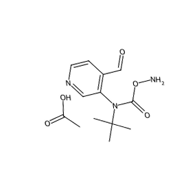 CC(=O)O.CC(C)(C)N(C(=O)ON)c1cnccc1C=O